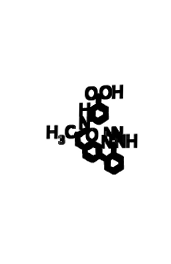 CC(Cc1ccc(-c2ccccc2-c2nnn[nH]2)cc1)C(=O)Nc1cccc(C(=O)O)c1